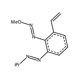 C=Cc1cccc(N=NC(C)C)c1N=NOC